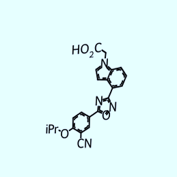 CC(C)Oc1ccc(-c2nc(-c3cccc4c3ccn4CC(=O)O)no2)cc1C#N